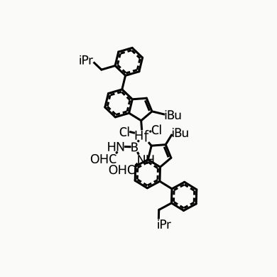 CCC(C)C1=Cc2c(-c3ccccc3CC(C)C)cccc2[CH]1[Hf]([Cl])([Cl])([B](NC=O)NC=O)[CH]1C(C(C)CC)=Cc2c(-c3ccccc3CC(C)C)cccc21